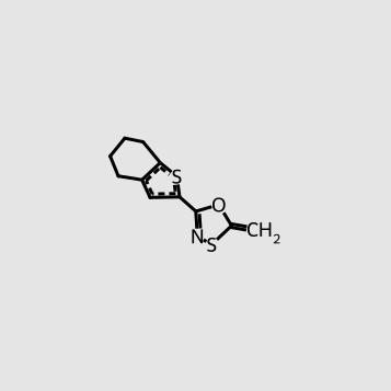 C=C1OC(c2cc3c(s2)CCCC3)=NS1